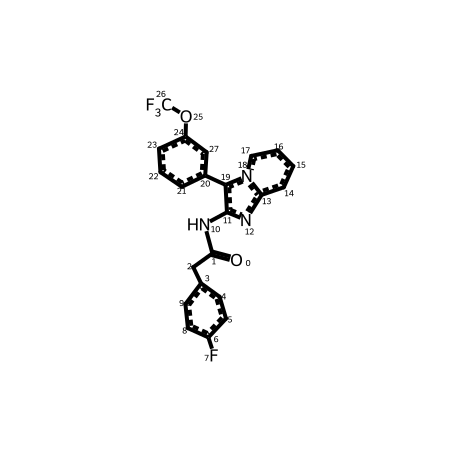 O=C(Cc1ccc(F)cc1)Nc1nc2ccccn2c1-c1cccc(OC(F)(F)F)c1